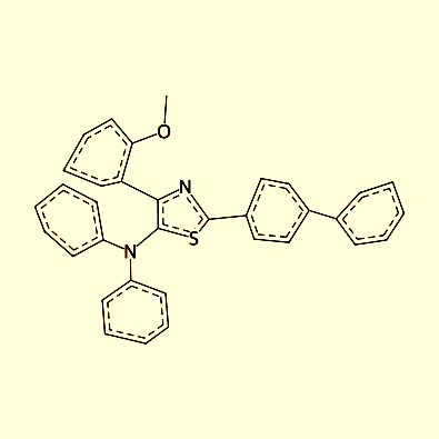 COc1ccccc1-c1nc(-c2ccc(-c3ccccc3)cc2)sc1N(c1ccccc1)c1ccccc1